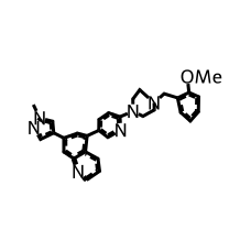 COc1ccccc1CN1CCN(c2ccc(-c3cc(-c4cnn(C)c4)cc4ncccc34)cn2)CC1